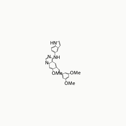 COc1cc(C=Cc2cc3c(Nc4ccc5[nH]ccc5c4)ncnc3cc2OC)cc(OC)c1